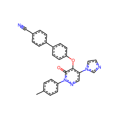 Cc1ccc(-n2ncc(-n3ccnc3)c(Oc3ccc(-c4ccc(C#N)cc4)cc3)c2=O)cc1